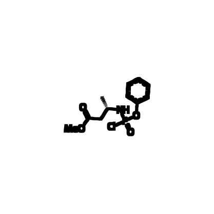 COC(=O)C[C@H](C)NP(=O)(Cl)Oc1ccccc1